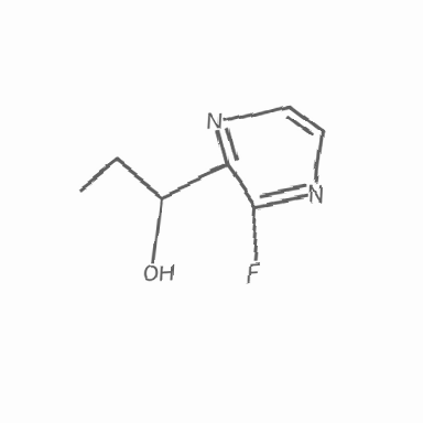 CCC(O)c1nccnc1F